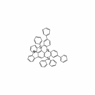 c1ccc(-c2ccc3c(c2)[Si](c2ccccc2)(c2ccccc2)c2cc4c(sc5ccccc54)c4c2N3c2ccc(-c3ccccc3)cc2[Si]4(c2ccccc2)c2ccccc2)cc1